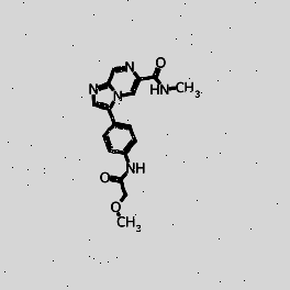 CNC(=O)c1cn2c(-c3ccc(NC(=O)COC)cc3)cnc2cn1